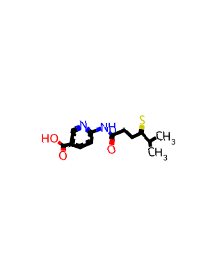 CC(C)C(=S)CCC(=O)Nc1ccc(C(=O)O)cn1